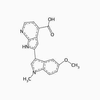 COc1ccc2c(c1)c(-c1cc3c(C(=O)O)ccnc3[nH]1)cn2C